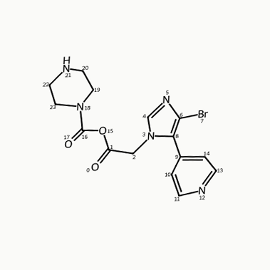 O=C(Cn1cnc(Br)c1-c1ccncc1)OC(=O)N1CCNCC1